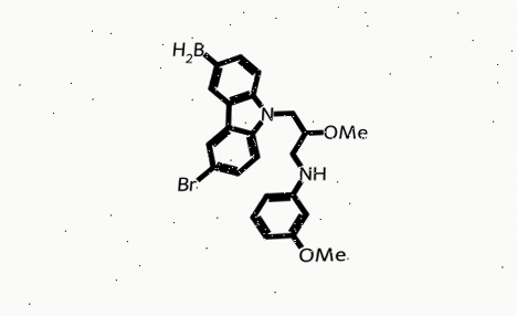 Bc1ccc2c(c1)c1cc(Br)ccc1n2CC(CNc1cccc(OC)c1)OC